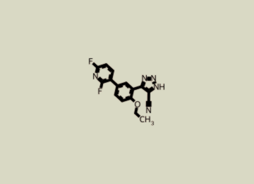 CCOc1ccc(-c2ccc(F)nc2F)cc1-c1nn[nH]c1C#N